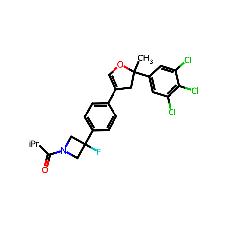 CC(C)C(=O)N1CC(F)(c2ccc(C3=COC(C)(c4cc(Cl)c(Cl)c(Cl)c4)C3)cc2)C1